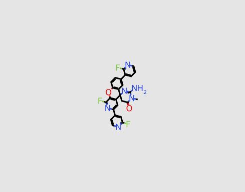 CN1C(=O)CC2(N=C1N)c1cc(-c3cccnc3F)ccc1Oc1c2cc(-c2ccnc(F)c2)nc1F